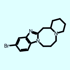 Brc1ccc2c(c1)nc1n2CCCN2CCCCC2C1